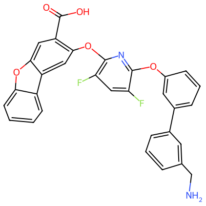 NCc1cccc(-c2cccc(Oc3nc(Oc4cc5c(cc4C(=O)O)oc4ccccc45)c(F)cc3F)c2)c1